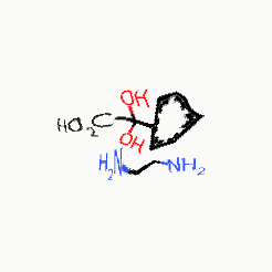 NCCN.O=C(O)C(O)(O)c1ccccc1